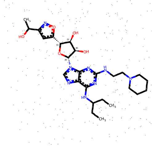 CCC(CC)Nc1nc(NCCN2CCCCC2)nc2c1ncn2[C@@H]1O[C@H](c2cc(C(C)O)no2)[C@@H](O)[C@H]1O